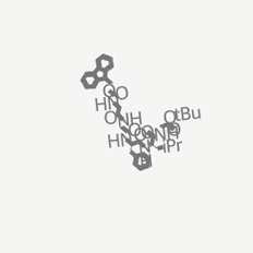 CC(C)C[C@H](NC(=O)[C@H](Cc1ccccc1)NC(=O)CNC(=O)CNC(=O)OCC1c2ccccc2-c2ccccc21)C(=O)NCC(=O)OC(C)(C)C